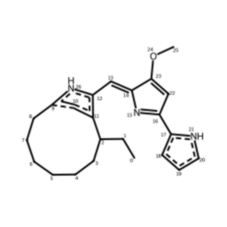 CCC1CCCCCCc2cc1c(C=C1N=C(c3ccc[nH]3)C=C1OC)[nH]2